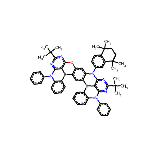 CC(C)(C)c1nc2c3c(n1)N(c1ccccc1)c1ccccc1B3c1cc3c(cc1O2)N(c1ccc2c(c1)C(C)(C)CCC2(C)C)c1nc(C(C)(C)C)nc2c1B3c1ccccc1N2c1ccccc1